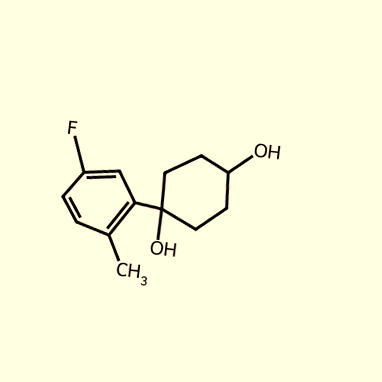 Cc1ccc(F)cc1C1(O)CCC(O)CC1